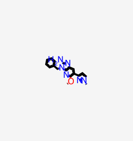 COc1nc2c(cc1-c1ccn(C)n1)nc(N)n2Cc1ccccc1